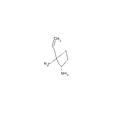 C=CC1(C)CCC1[SiH3]